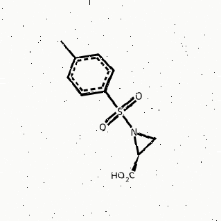 Cc1ccc(S(=O)(=O)N2C[C@H]2C(=O)O)cc1